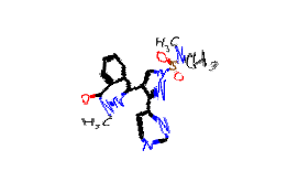 CN(C)S(=O)(=O)n1cc(-c2nn(C)c(=O)c3ccccc23)c(-c2ccncn2)n1